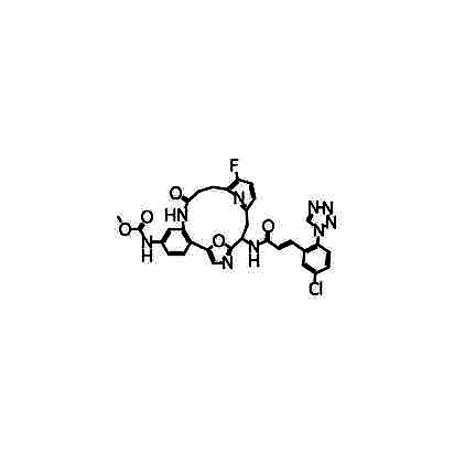 COC(=O)Nc1ccc2c(c1)NC(=O)CCc1nc(ccc1F)CC(NC(=O)/C=C/c1cc(Cl)ccc1-n1cnnn1)c1ncc-2o1